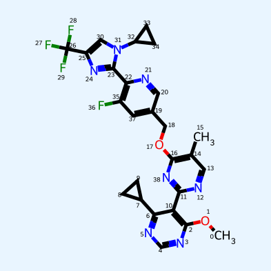 COc1ncnc(C2CC2)c1-c1ncc(C)c(OCc2cnc(-c3nc(C(F)(F)F)cn3C3CC3)c(F)c2)n1